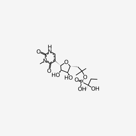 CC[C@@](C)(O)P(=O)(O)OC(C)(C)C[C@H]1O[C@@H](c2c[nH]c(=O)n(C)c2=O)[C@H](O)[C@@H]1O